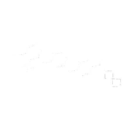 COc1ccnc(Nc2cc(Nc3ccc(C(C)N4CC5(COC5)C4)cn3)ncn2)c1S(C)(=O)=O